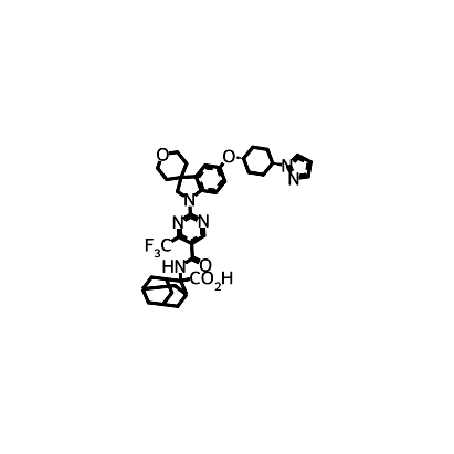 O=C(NC1(C(=O)O)C2CC3CC(C2)CC1C3)c1cnc(N2CC3(CCOCC3)c3cc(O[C@H]4CC[C@H](n5cccn5)CC4)ccc32)nc1C(F)(F)F